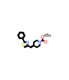 CC(C)(C)OC(=O)N1CCC(=Cc2csc(-c3ccccc3)n2)CC1